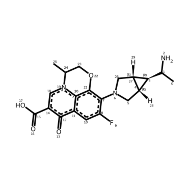 CC(N)[C@H]1[C@@H]2CN(c3c(F)cc4c(=O)c(C(=O)O)cn5c4c3OCC5C)C[C@@H]21